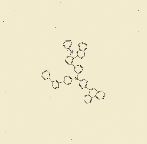 C1=CCC(c2cccc(-c3ccc(N(c4ccc(-c5cc6ccccc6c6ccccc56)cc4)c4cccc(-c5cccc6c5c5ccc7ccccc7c5n6-c5ccccc5)c4)cc3)c2)C=C1